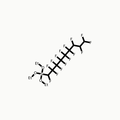 CCO[Si](OCC)(OCC)C(F)C(F)(F)C(F)(F)C(F)(F)C(F)(F)C(F)(F)C(F)C(F)C(F)F